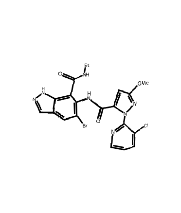 CCNC(=O)c1c(NC(=O)c2cc(OC)nn2-c2ncccc2Cl)c(Br)cc2cn[nH]c12